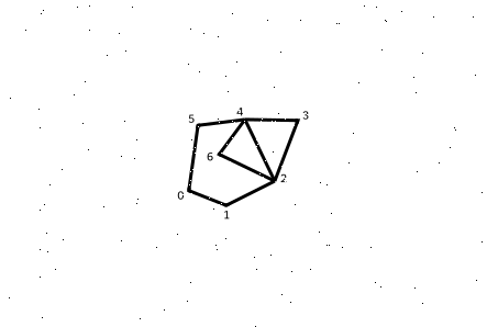 C1CC23CC2(C1)C3